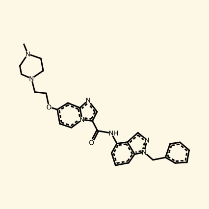 CN1CCN(CCOc2ccn3c(C(=O)Nc4cccc5c4cnn5Cc4ccccc4)cnc3c2)CC1